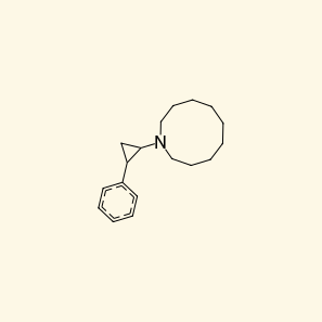 c1ccc(C2CC2N2CCCCCCCCC2)cc1